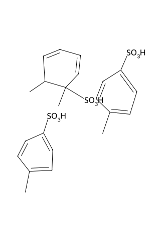 CC1C=CC=CC1(C)S(=O)(=O)O.Cc1ccc(S(=O)(=O)O)cc1.Cc1ccc(S(=O)(=O)O)cc1